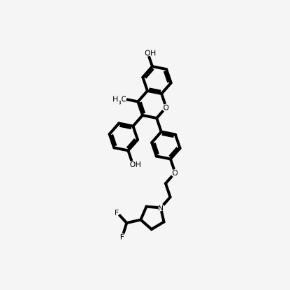 CC1=C(c2cccc(O)c2)C(c2ccc(OCCN3CCC(C(F)F)C3)cc2)Oc2ccc(O)cc21